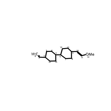 C=CC1CCC(C2CCC(C=COC)CC2)CC1